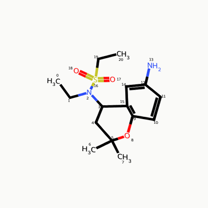 CCN(C1CC(C)(C)Oc2ccc(N)cc21)S(=O)(=O)CC